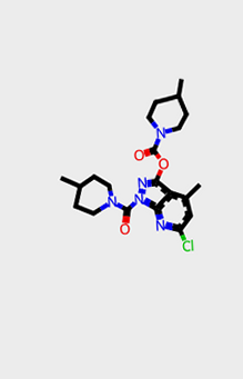 Cc1cc(Cl)nc2c1c(OC(=O)N1CCC(C)CC1)nn2C(=O)N1CCC(C)CC1